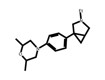 CCN1CC2CC2(c2ccc(N3CC(C)OC(C)C3)cc2)C1